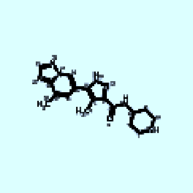 Cc1c(C(=O)NC2CCNCC2)n[nH]c1-c1cc(C)c2ncnn2c1